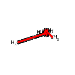 CCCCCCCCCCCCCCCCCCCC(=O)N[C@@H](CCC(=O)O)C(=O)N[C@@H](CCC(=O)O)C(=O)N[C@@H](C(=O)N[C@@H](CCCCNC(=O)CCOCCOCCOCCOCCOCCOCCOCCOCCOCCOCCOCCOCCOCCOCCOCCOCCOCCOCCOCCOCCOCCOCCOCCOC)C(=O)N1CCN(C)CC1)[C@H](C)CC